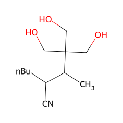 CCCCC(C#N)C(C)C(CO)(CO)CO